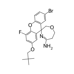 CC(C)(C)COc1cc(F)c2c(c1)C1(COCCC(N)=N1)c1cc(Br)ccc1O2